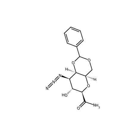 [N-]=[N+]=N[C@@H]1[C@@H](O)[C@H](C(N)=O)O[C@@H]2COC(c3ccccc3)O[C@H]12